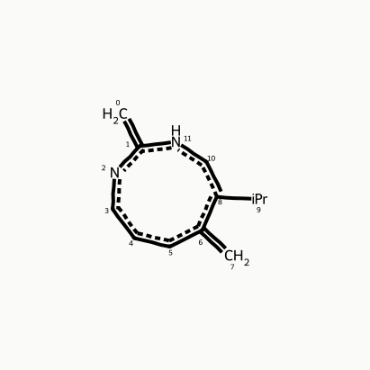 C=c1ncccc(=C)c(C(C)C)c[nH]1